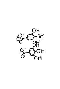 O=C([O-])c1cc(O)c(O)c(O)c1.O=C([O-])c1cc(O)c(O)c(O)c1.[Co+2]